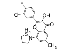 Cc1cc(N2CCC[SH4]2)c2oc(-c3ccc(F)c(Cl)c3)c(O)c(=O)c2c1